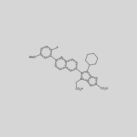 COc1ccc(F)c(-c2ccc3cc(-c4c(C5CCCCC5)c5sc(C(=O)O)cc5n4CC(=O)O)ccc3n2)c1